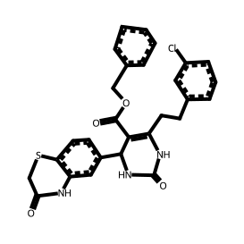 O=C1CSc2ccc(C3NC(=O)NC(CCc4cccc(Cl)c4)=C3C(=O)OCc3ccccc3)cc2N1